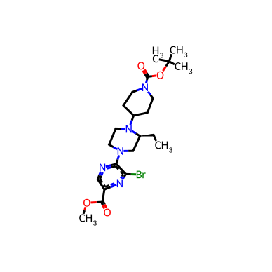 CC[C@H]1CN(c2ncc(C(=O)OC)nc2Br)CCN1C1CCN(C(=O)OC(C)(C)C)CC1